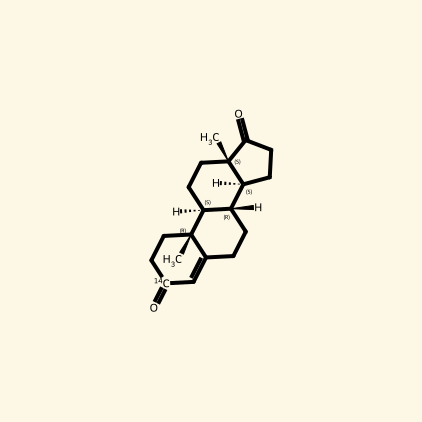 C[C@]12CC[14C](=O)C=C1CC[C@@H]1[C@@H]2CC[C@]2(C)C(=O)CC[C@@H]12